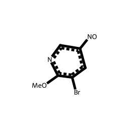 COc1ncc(N=O)cc1Br